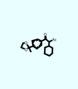 CC(=O)C(C(=O)c1ccc(C2(C)OCCO2)cc1)C1CCCCC1